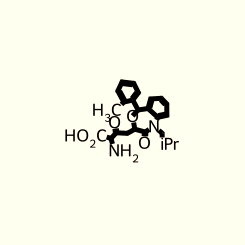 Cc1ccccc1C1OC(CC(=O)C(N)C(=O)O)C(=O)N(CC(C)C)c2ccccc21